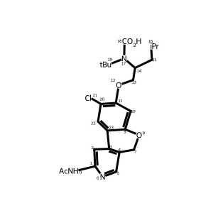 CC(=O)Nc1cc2c(cn1)COc1cc(OCC(CC(C)C)N(C(=O)O)C(C)(C)C)c(Cl)cc1-2